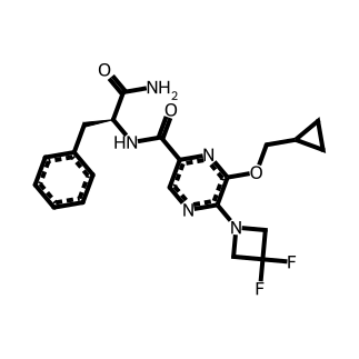 NC(=O)[C@H](Cc1ccccc1)NC(=O)c1cnc(N2CC(F)(F)C2)c(OCC2CC2)n1